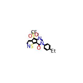 CCc1ccc(-n2cnc3c(S(=O)(=O)C(F)(F)F)c4ccnsc-4c3c2=O)cc1